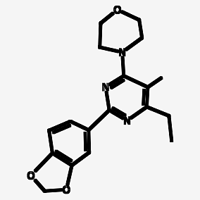 CCc1nc(-c2ccc3c(c2)OCO3)nc(N2CCOCC2)c1C